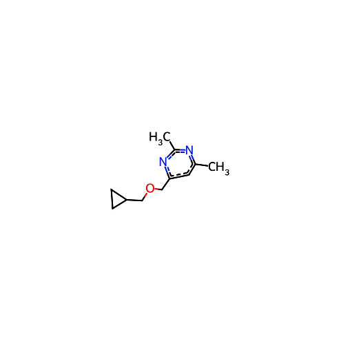 Cc1cc(COCC2CC2)nc(C)n1